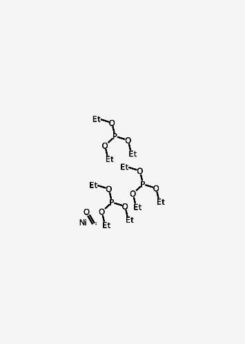 CCOP(OCC)OCC.CCOP(OCC)OCC.CCOP(OCC)OCC.[C]=O.[Ni]